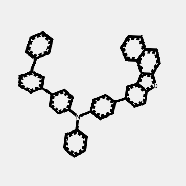 c1ccc(-c2cccc(-c3ccc(N(c4ccccc4)c4ccc(-c5ccc6oc7ccc8ccccc8c7c6c5)cc4)cc3)c2)cc1